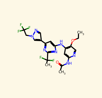 CCOc1cnc(NC(C)=O)cc1Nc1cc(-c2cnn(CC(F)(F)F)c2)nc(C(C)(F)F)n1